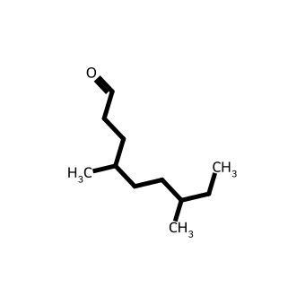 CCC(C)CCC(C)CCC=O